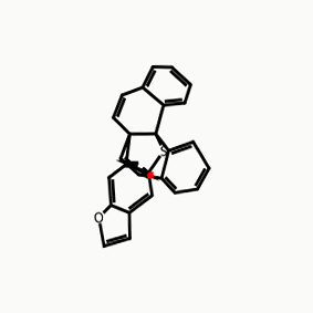 C1=CC23C=c4ccoc4=CC2(C=C1)C12C=Cc4ccccc4C1(S3)c1ccccc1C=C2